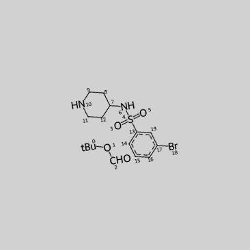 CC(C)(C)OC=O.O=S(=O)(NC1CCNCC1)c1cccc(Br)c1